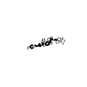 CC(C)=CC[C@H]1O[C@@]1(C)C1OC12CCC(OC(=O)N1CC(CCN3CCC(F)CC3)C1)CC2